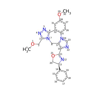 COCc1nnc2n1Cc1c(C3=N[C@@H](c4ccccc4)CO3)ncn1-c1ccc(OC)cc1-2